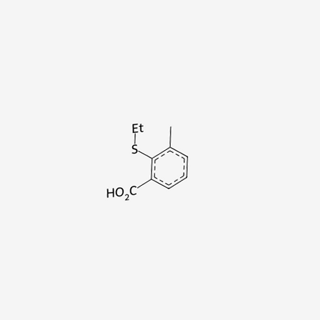 CCSc1c(C)cccc1C(=O)O